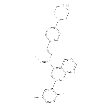 N/C=C(\C=C\c1ccc(N2CCNCC2)nc1)c1cc(-c2cc(Cl)ccc2F)nc2ncccc12